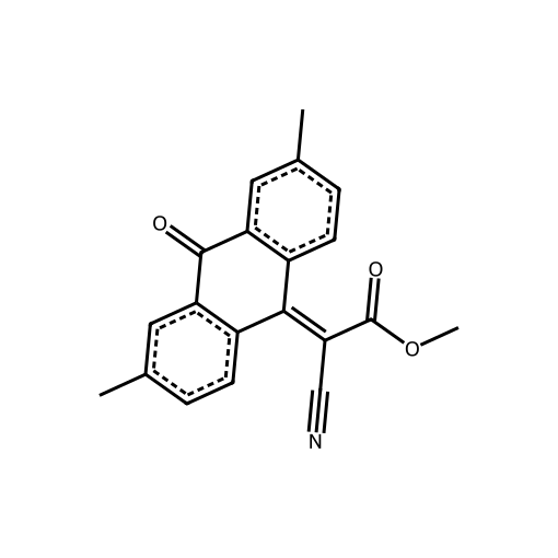 COC(=O)C(C#N)=C1c2ccc(C)cc2C(=O)c2cc(C)ccc21